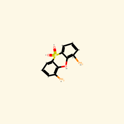 O=S1(=O)c2cccc(P)c2Oc2c(P)cccc21